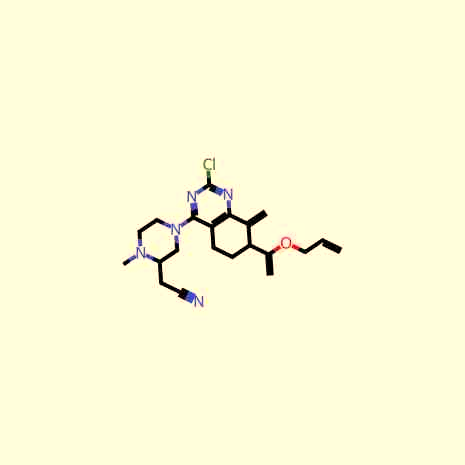 C=CCOC(=C)C1CCc2c(nc(Cl)nc2N2CCN(C)C(CC#N)C2)C1=C